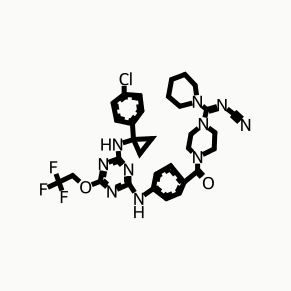 N#CN=C(N1CCCCC1)N1CCN(C(=O)c2ccc(Nc3nc(NC4(c5ccc(Cl)cc5)CC4)nc(OCC(F)(F)F)n3)cc2)CC1